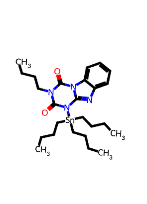 CCCCn1c(=O)[n]([Sn]([CH2]CCC)([CH2]CCC)[CH2]CCC)c2nc3ccccc3n2c1=O